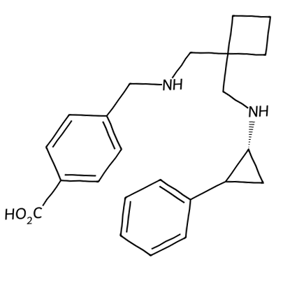 O=C(O)c1ccc(CNCC2(CN[C@@H]3CC3c3ccccc3)CCC2)cc1